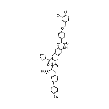 N#Cc1ccc(-c2ccc(C[C@H](NC(=O)C3Cc4cc5c(cc4CN3C(=O)C3CCCC3)OC(c3ccc(OCc4ccc(Cl)c(Cl)c4)cc3)C(=O)N5)C(=O)O)cc2)cc1